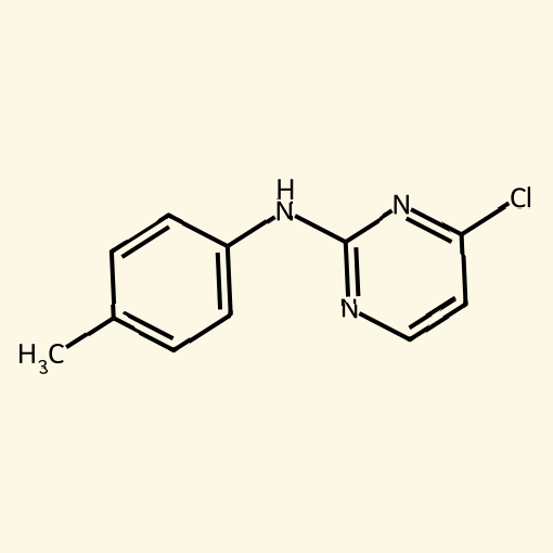 Cc1ccc(Nc2nccc(Cl)n2)cc1